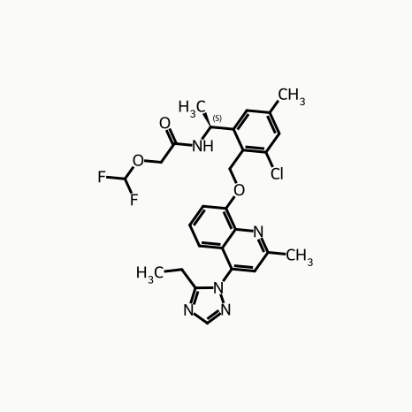 CCc1ncnn1-c1cc(C)nc2c(OCc3c(Cl)cc(C)cc3[C@H](C)NC(=O)COC(F)F)cccc12